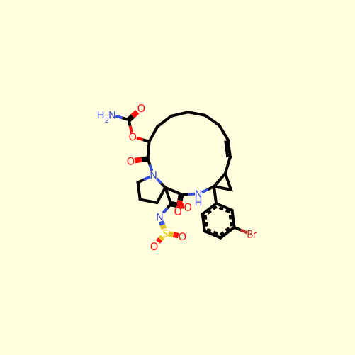 NC(=O)OC1CCCCCC=CC2CC2(c2cccc(Br)c2)NC(=O)C2(C(=O)N=S(=O)=O)CCCN2C1=O